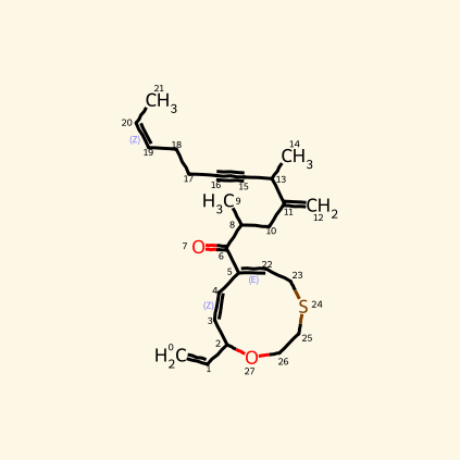 C=CC1/C=C\C(C(=O)C(C)CC(=C)C(C)C#CCC/C=C\C)=C/CSCCO1